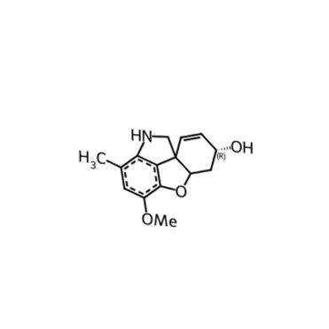 COc1cc(C)c2c3c1OC1C[C@@H](O)C=CC31CN2